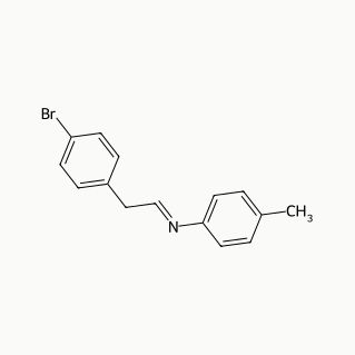 Cc1ccc(N=CCc2ccc(Br)cc2)cc1